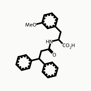 COc1cccc(CC(NC(=O)CC(c2ccccc2)c2ccccc2)C(=O)O)c1